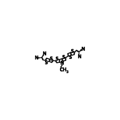 CCCn1c2cc(-c3cc4sc(C=C(C#N)C#N)cc4s3)sc2c2sc(-c3cc4sc(C=C(C#N)C#N)cc4s3)cc21